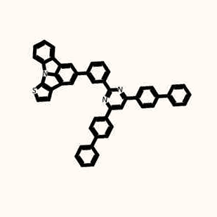 c1ccc(-c2ccc(-c3cc(-c4ccc(-c5ccccc5)cc4)nc(-c4cccc(-c5cc6c7ccccc7n7c8sccc8c(c5)c67)c4)n3)cc2)cc1